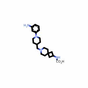 Nc1cccc(N2CCC(CN3CCC4(CC3)CC(NC(=O)O)C4)CC2)c1